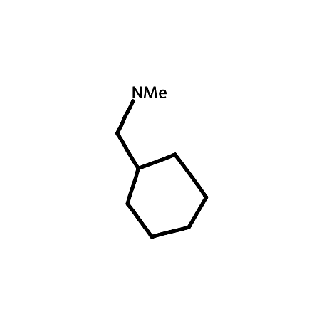 CNCC1CCCCC1